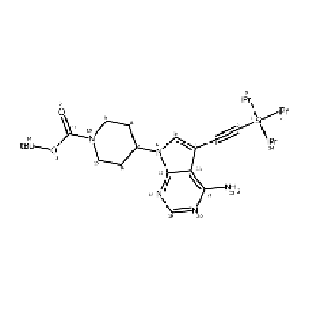 CC(C)[Si](C#Cc1cn(C2CCN(C(=O)OC(C)(C)C)CC2)c2ncnc(N)c12)(C(C)C)C(C)C